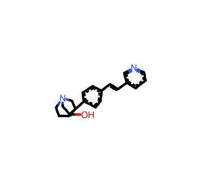 OC1(c2ccc(C=Cc3cccnc3)cc2)CN2CCC1CC2